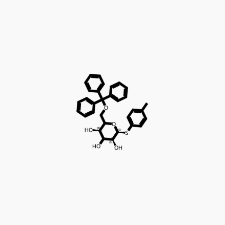 Cc1ccc(S[C@@H]2OC(COC(c3ccccc3)(c3ccccc3)c3ccccc3)[C@H](O)C(O)[C@@H]2O)cc1